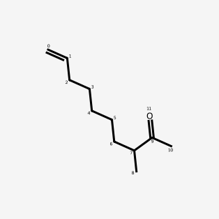 C=CCCCCCC(C)C(C)=O